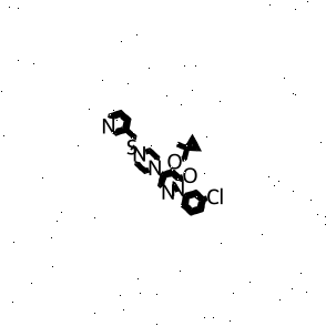 CC1(COc2c(N3CCN(SCc4cccnc4)CC3)cnn(-c3cccc(Cl)c3)c2=O)CC1